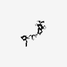 CCCc1ccccc1OCC(O)COc1ccc2c(c1)C(=O)C([N+](=O)[O-])C2=O